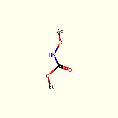 CCOC(=O)NOC(C)=O